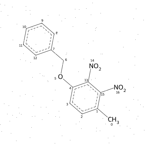 Cc1ccc(OCc2ccccc2)c([N+](=O)[O-])c1[N+](=O)[O-]